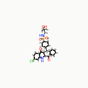 CCC(=O)c1[nH]c2cc(Cl)ccc2c(=O)c1C(c1ccccc1)c1ccc(S(=O)(=O)NCC(C)(C)O)cc1